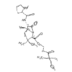 CC(C)(C)C(=O)OCOC(=O)[C@@H]1N2C(=O)[C@@H](NC(=O)C3CSCN3)[C@H]2SC1(C)C